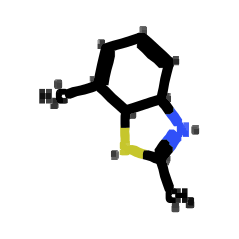 CC1=CC=CC2N=C(C)SC12